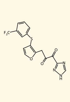 O=C(Cc1occc1Sc1cccc(C(F)(F)F)c1)C(=O)c1nc[nH]n1